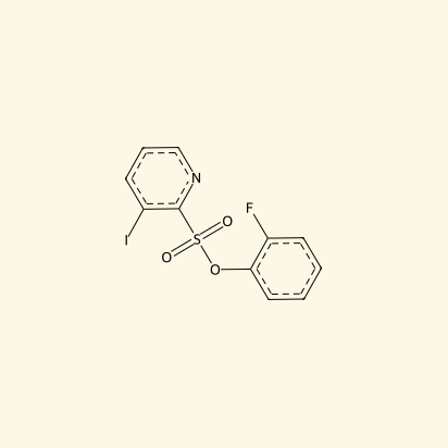 O=S(=O)(Oc1ccccc1F)c1ncccc1I